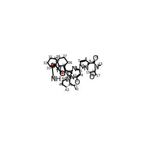 C[C@H](Oc1cc(-n2ccc(C(=O)N(C)C3COC3)n2)nc(-c2onc3c2CCC[C@@]32CCCc3sc(N)c(C#N)c32)n1)[C@@H]1CCCN1C